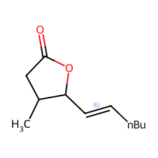 CCCC/C=C/C1OC(=O)CC1C